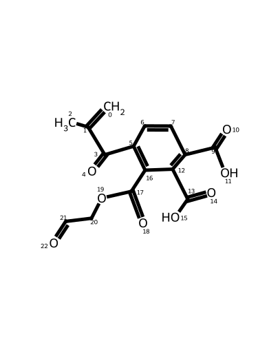 C=C(C)C(=O)c1ccc(C(=O)O)c(C(=O)O)c1C(=O)OCC=O